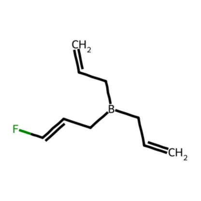 C=CCB(CC=C)CC=CF